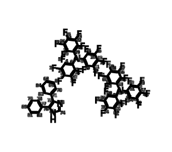 Fc1c(F)c(F)[c]([Al]([c]2c(F)c(F)c(F)c(F)c2F)[c]2c(F)c(F)c(F)c(F)c2F)c(F)c1F.Fc1c(F)c(F)[c]([Al]([c]2c(F)c(F)c(F)c(F)c2F)[c]2c(F)c(F)c(F)c(F)c2F)c(F)c1F.c1ccc(-c2nc[nH]c2-c2ccccc2)cc1